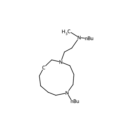 CCCCN(C)CCN1CCCCCCN(CCCC)CCC1